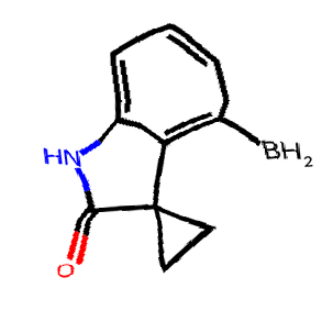 Bc1cccc2c1C1(CC1)C(=O)N2